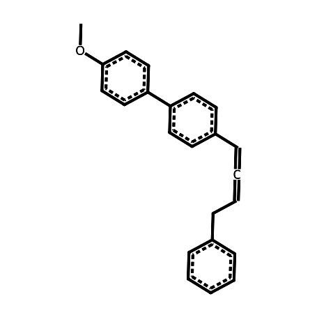 COc1ccc(-c2ccc(C=C=CCc3ccccc3)cc2)cc1